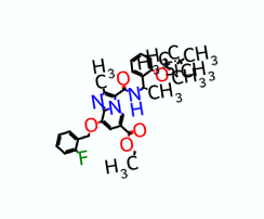 CCOC(=O)c1cc(OCc2ccccc2F)c2nc(C)c(C(=O)N[C@H](C)c3ccccc3O[Si](C)(C)C(C)(C)C)n2c1